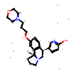 Oc1ccc([C@H]2CN3CCC[C@@H]3c3cc(OCCCN4CCOCC4)ccc32)cn1